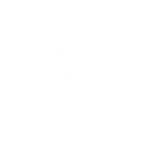 Cc1ccc2c(c1)c1c(n2C2CCC2c2ccc(F)cc2)CCN(C)C1